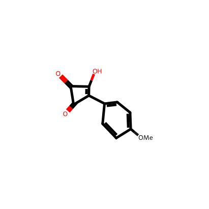 COc1ccc(-c2c(O)c(=O)c2=O)cc1